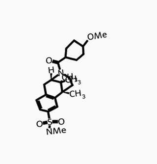 CNS(=O)(=O)c1ccc2c(c1)[C@@]1(C)CCN(C(=O)C3CCC(OC)CC3)[C@@H](C2)C1(C)C